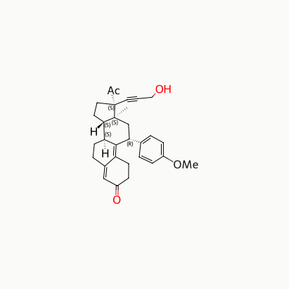 COc1ccc([C@H]2C[C@@]3(C)[C@@H](CC[C@]3(C#CCO)C(C)=O)[C@@H]3CCC4=CC(=O)CCC4=C32)cc1